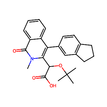 Cn1c(C(OC(C)(C)C)C(=O)O)c(-c2ccc3c(c2)CCC3)c2ccccc2c1=O